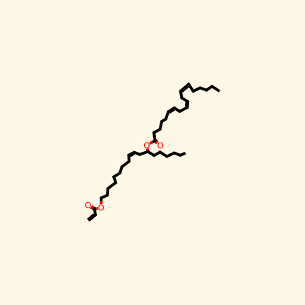 C=CC(=O)OCCCCCCCC/C=C\CC(CCCCCC)OC(=O)CCCC/C=C\C/C=C\C/C=C\CCCCC